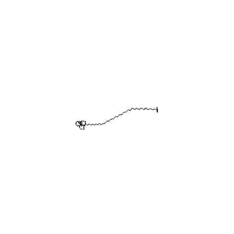 Cl[Si](Cl)(Cl)CCCCCCCCCCCCCCCCCCCCCCCCCCCCCCCCCCCCI